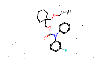 O=C(O)COCC1(COC(=O)N(c2ccccc2)c2cccc(F)c2)CCCCC1